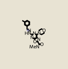 CNC(=O)c1nc2c(N3CCOCC3)nc(N/N=C/c3cccc(C)c3)nc2o1